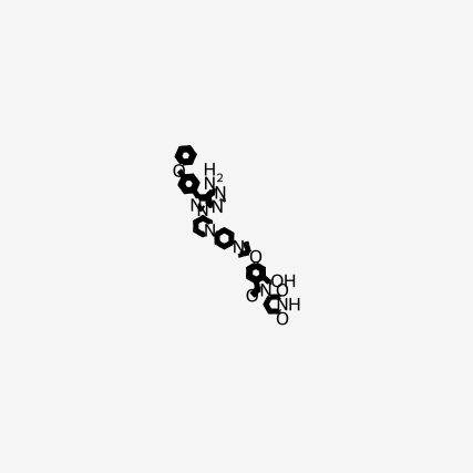 Nc1ncnc2c1c(-c1ccc(Oc3ccccc3)cc1)nn2[C@@H]1CCCN(C2CCC(N3CC(Oc4ccc5c(c4)C(O)N(C4CCC(=O)NC4=O)C5=O)C3)CC2)C1